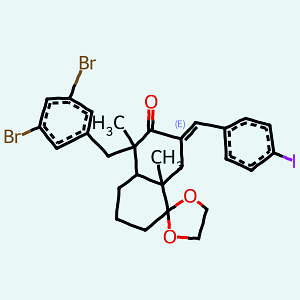 CC1(Cc2cc(Br)cc(Br)c2)C(=O)/C(=C/c2ccc(I)cc2)CC2(C)C1CCCC21OCCO1